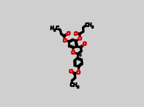 CCCC(=O)Oc1ccc([C@@H]2CC(=O)c3c(OC(=O)CCC)cc(OC(=O)CCC)cc3O2)cc1